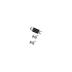 [Ag+].[Ag+].[C-]#[C-]